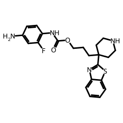 Nc1ccc(NC(=O)OCCCC2(c3nc4ccccc4s3)CCNCC2)c(F)c1